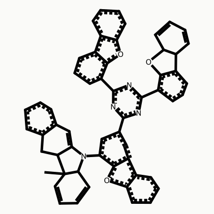 CC12C=CC=CC1N(c1cc(-c3nc(-c4cccc5c4OC4C=CC=CC54)nc(-c4cccc5c4oc4ccccc45)n3)cc3c1oc1ccccc13)C1=Cc3ccccc3CC12